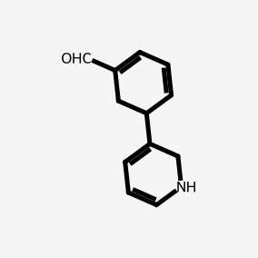 O=CC1=CC=CC(C2=CC=CNC2)C1